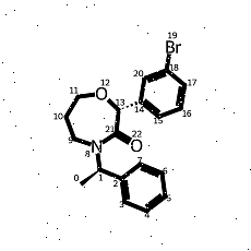 C[C@H](c1ccccc1)N1CCCO[C@H](c2cccc(Br)c2)C1=O